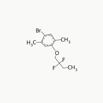 CCC(F)(F)COc1cc(C)c(Br)cc1C